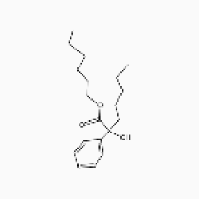 CCCCCCOC(=O)C(O)(CCCCC)c1ccccc1